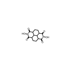 O=C1C2CCC3C(=O)N(O)C(=O)C4CCC(C(=O)N1O)C2C34